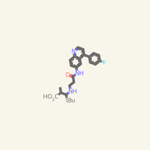 CC(C(=O)O)C(NCCC(=O)Nc1ccc2nccc(-c3ccc(F)cc3)c2c1)C(C)(C)C